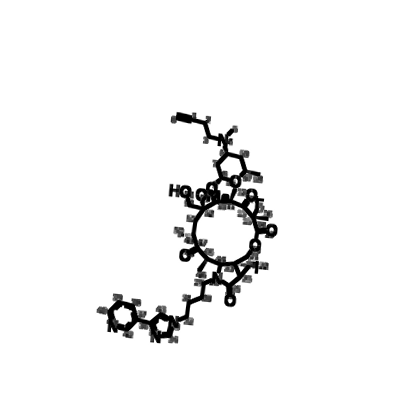 C#CCCN(C)[C@@H]1C[C@H](O[C@@H]2[C@@H](C)C(=O)[C@](C)(F)C(=O)O[C@H](I)[C@@]34CC3C(=O)N(CCCCn3cnc(-c5cccnc5)c3)C4[C@@H](C)C(=O)[C@H](C)C[C@@]2(CO)OC)O[C@H](C)C1